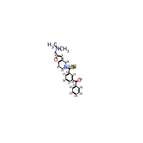 CN(C)Cc1cc2c(o1)CCN(C(=O)c1cccc(C(=O)c3ccccc3)c1)C2.Cl